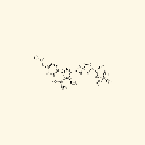 COCc1ccc(-c2nn([C@H]3C[C@]4(CCN(C(=O)OC(C)(C)C)C4)C3)c(N)c2C(N)=O)cc1